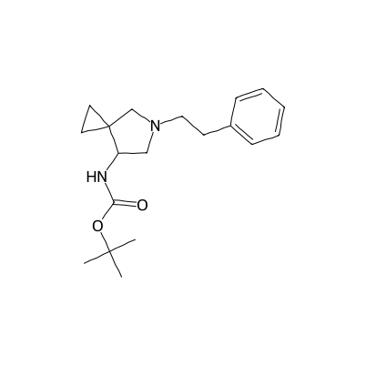 CC(C)(C)OC(=O)NC1CN(CCc2ccccc2)CC12CC2